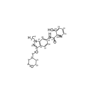 Cn1nc(OCC2CCOCC2)c2ccc(NC(=O)c3ncccc3O)cc21